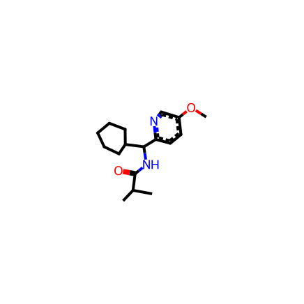 COc1ccc(C(NC(=O)C(C)C)C2CCCCC2)nc1